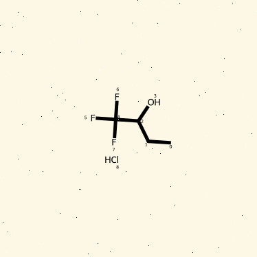 CCC(O)C(F)(F)F.Cl